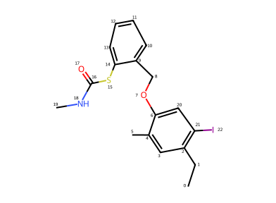 CCc1cc(C)c(OCc2ccccc2SC(=O)NC)cc1I